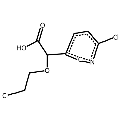 O=C(O)C(OCCCl)c1ccc(Cl)nc1